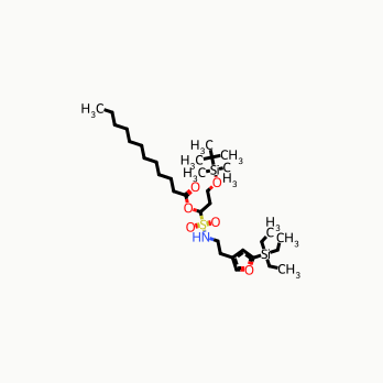 CCCCCCCCCCCC(=O)OC(CCO[Si](C)(C)C(C)(C)C)S(=O)(=O)NCCc1coc([Si](CC)(CC)CC)c1